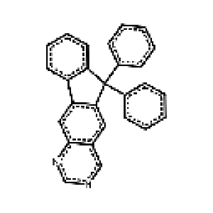 c1ccc(C2(c3ccccc3)c3ccccc3-c3cc4ncncc4cc32)cc1